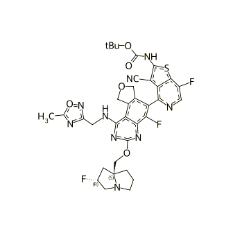 Cc1nc(CNc2nc(OC[C@@]34CCCN3C[C@H](F)C4)nc3c(F)c(-c4ncc(F)c5sc(NC(=O)OC(C)(C)C)c(C#N)c45)c4c(c23)COC4)no1